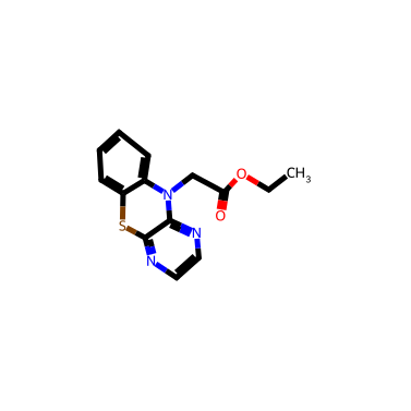 CCOC(=O)CN1c2ccccc2Sc2nccnc21